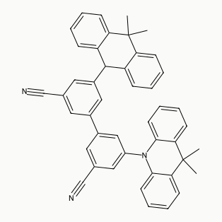 CC1(C)c2ccccc2C(c2cc(C#N)cc(-c3cc(C#N)cc(N4c5ccccc5C(C)(C)c5ccccc54)c3)c2)c2ccccc21